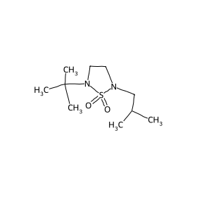 CC(C)CN1CCN(C(C)(C)C)S1(=O)=O